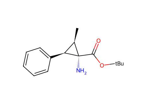 C[C@@H]1[C@H](c2ccccc2)[C@]1(N)C(=O)OC(C)(C)C